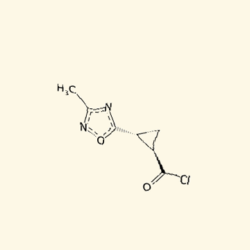 Cc1noc([C@@H]2C[C@H]2C(=O)Cl)n1